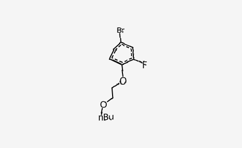 CCCCOCCOc1ccc(Br)cc1F